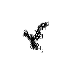 C[C@H]1COCCN1C[C@@H](O)Cn1nc(-c2ccc(Cl)c(-c3ccc(CNCc4ccc(Cl)cc4)cc3)c2)c2c1CCN(C(=O)C(N)=O)C2